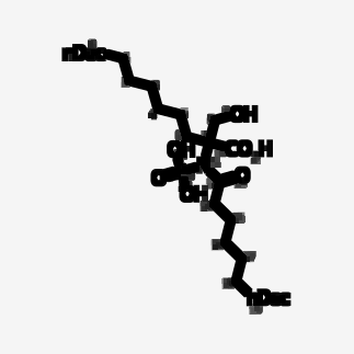 CCCCCCCCCCCCCCCCC(CO)(C(=O)O)N(C(=O)CCCCCCCCCCCCCCC)P(=O)(O)O